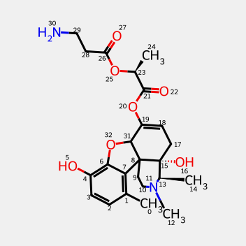 Cc1ccc(O)c2c1C13CCN(C)[C@H](C)[C@]1(O)CC=C(OC(=O)[C@H](C)OC(=O)CCN)C3O2